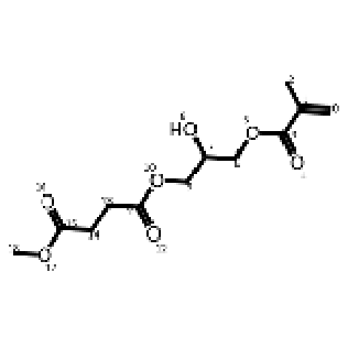 C=C(C)C(=O)OCC(O)COC(=O)CCC(=O)OC